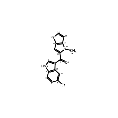 CCc1ccc2[nH]cc(C(=O)c3cc4sccc4n3C)c2c1